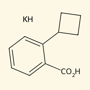 O=C(O)c1ccccc1C1CCC1.[KH]